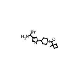 CC(C)C(N)c1cnn(C2CCN(C(=O)C3(C)CCC3)CC2)c1